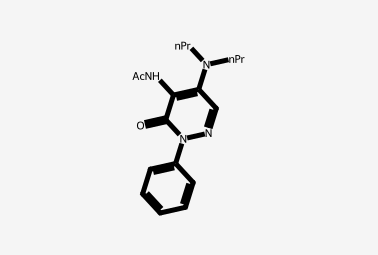 CCCN(CCC)c1cnn(-c2ccccc2)c(=O)c1NC(C)=O